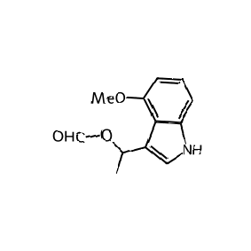 COc1cccc2[nH]cc(C(C)OC=O)c12